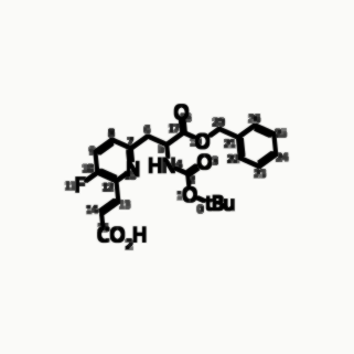 CC(C)(C)OC(=O)NC(Cc1ccc(F)c(/C=C/C(=O)O)n1)C(=O)OCc1ccccc1